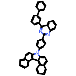 c1ccc(-c2cccc(-c3nc(-c4ccc(-n5c6ccc7ccccc7c6c6c7ccccc7ccc65)cc4)nc4ccccc34)c2)cc1